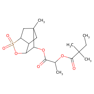 CCC(C)(C)C(=O)OC(C)C(=O)OC1C2OS(=O)(=O)C3CC1(C)CC23